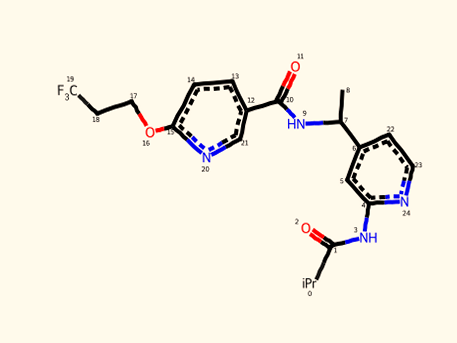 CC(C)C(=O)Nc1cc(C(C)NC(=O)c2ccc(OCCC(F)(F)F)nc2)ccn1